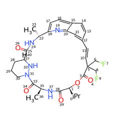 CC(C)[C@@H]1OC(=O)C(CF)(CF)/C=C/c2ccc3ccc(nc3c2)[C@@H](C)NC(=O)[C@@H]2CCCN(N2)C(=O)[C@H](C)NC1=O